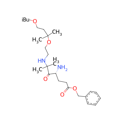 CCC(C)OCCC(C)(C)OCCNC(C)(C)C(=O)[C@H](N)CCC(=O)OCc1ccccc1